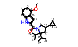 COc1cccc2[nH]c(C(=O)N3CC(C4CC4)CC3(C(C)C)C(C)C)cc12